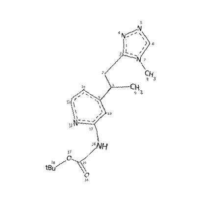 CC(Cc1nncn1C)c1ccnc(NC(=O)OC(C)(C)C)c1